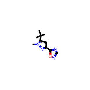 Cn1nc(-c2ncno2)cc1C(C)(C)C